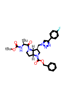 CC(C)(C)OC(=O)N[C@H](C(=O)N1CC[C@@H]2[C@H]1[C@@H](Cn1cc(-c3ccc(F)cc3)nn1)CN2C(=O)OCc1ccccc1)C(C)(C)C